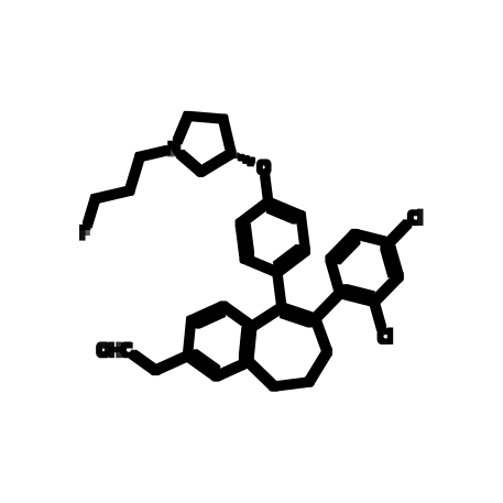 O=CCc1ccc2c(c1)CCCC(c1ccc(Cl)cc1Cl)=C2c1ccc(O[C@H]2CCN(CCCF)C2)cc1